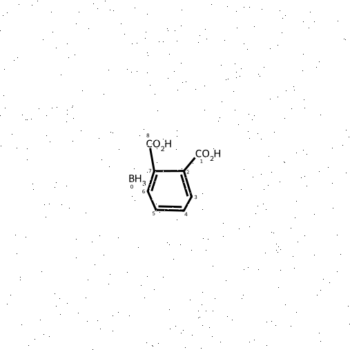 B.O=C(O)c1ccccc1C(=O)O